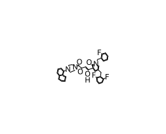 O=C(C=C(O)c1cc(Cc2c(F)cccc2F)cn(Cc2ccccc2F)c1=O)C(=O)N1CCN(c2cccc3ccccc23)CC1